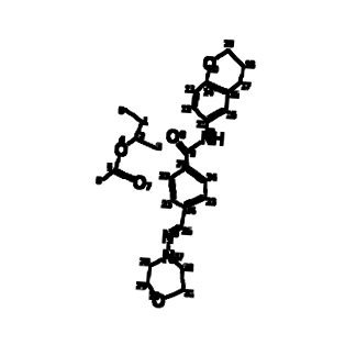 CCC(C)OC(C)=O.O=C(Nc1ccc2c(c1)CCCO2)c1ccc(C=NN2CCOCC2)cc1